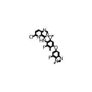 COc1cc(Oc2cc(F)c3c(c2)ncn3C)c(C)c(F)c1Nc1ncnc2ccc(Cl)nc12